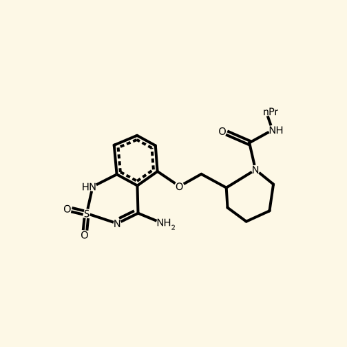 CCCNC(=O)N1CCCCC1COc1cccc2c1C(N)=NS(=O)(=O)N2